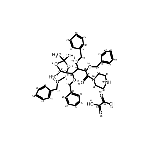 C[C@H]1OC(C)(C)O[C@@]1(COCc1ccccc1)C(OCc1ccccc1)C(OCc1ccccc1)C(OCc1ccccc1)C(=O)N1CCNCC1.O=C(O)C(=O)O